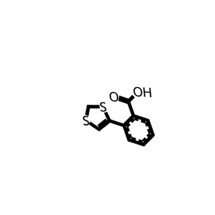 O=C(O)c1ccccc1C1=CSCS1